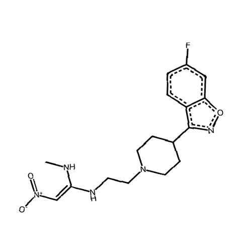 CN/C(=C\[N+](=O)[O-])NCCN1CCC(c2noc3cc(F)ccc23)CC1